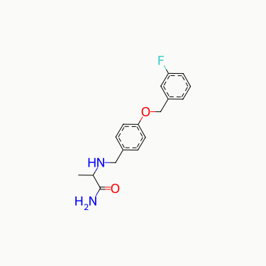 CC(NCc1ccc(OCc2cccc(F)c2)cc1)C(N)=O